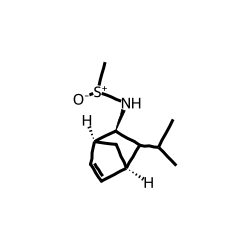 CC(C)C1[C@H]2C=C[C@H](C2)[C@H]1N[S+](C)[O-]